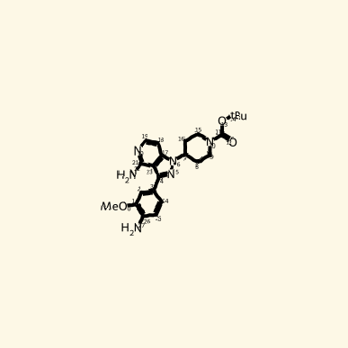 COc1cc(-c2nn(C3CCN(C(=O)OC(C)(C)C)CC3)c3ccnc(N)c23)ccc1N